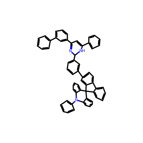 C1=C(c2ccccc2)NC(c2cccc(-c3ccc4c(c3)C3(c5ccccc5-4)c4ccccc4N(c4ccccc4)c4ccccc43)c2)N=C1c1cccc(-c2ccccc2)c1